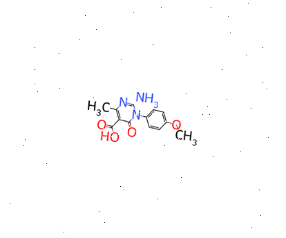 COc1ccc(-n2cnc(C)c(C(=O)O)c2=O)cc1.N